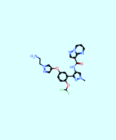 Cn1cc(NC(=O)c2cnn3cccnc23)c(-c2cc(Oc3cnn(CCN)c3)ccc2OC(F)F)n1